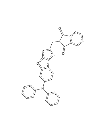 O=C1c2ccccc2C(=O)C1Cc1cc2oc3cc(N(c4ccccc4)c4ccccc4)ccc3c2s1